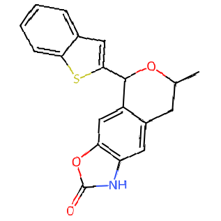 CC1Cc2cc3[nH]c(=O)oc3cc2C(c2cc3ccccc3s2)O1